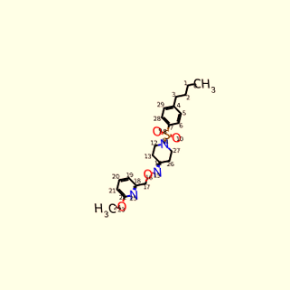 CCCCc1ccc(S(=O)(=O)N2CCC(=NOCc3cccc(OC)n3)CC2)cc1